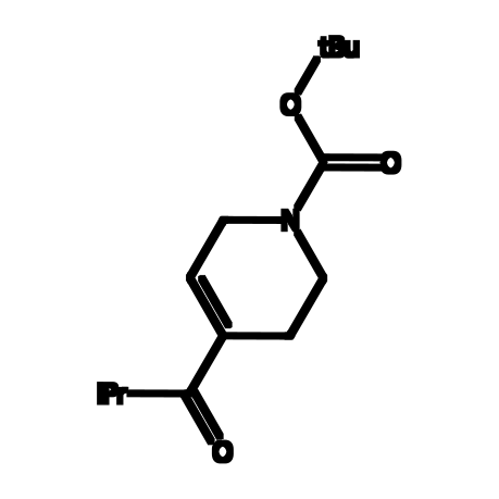 CC(C)C(=O)C1=CCN(C(=O)OC(C)(C)C)CC1